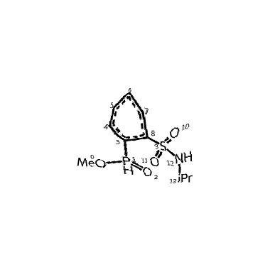 CO[PH](=O)c1ccccc1S(=O)(=O)NC(C)C